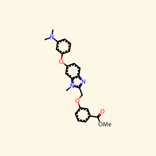 COC(=O)c1cccc(OCc2nc3ccc(Oc4cccc(N(C)C)c4)cc3n2C)c1